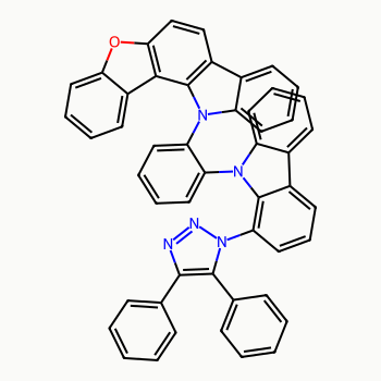 c1ccc(-c2nnn(-c3cccc4c5ccccc5n(-c5ccccc5-n5c6ccccc6c6ccc7oc8ccccc8c7c65)c34)c2-c2ccccc2)cc1